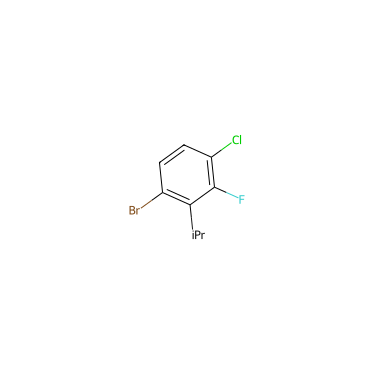 CC(C)c1c(Br)ccc(Cl)c1F